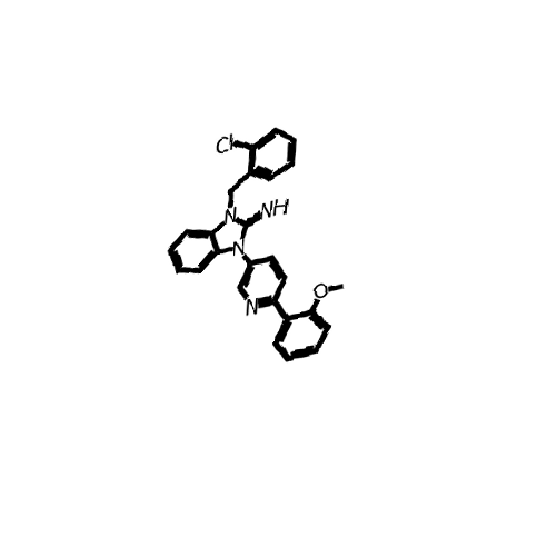 COc1ccccc1-c1ccc(-n2c(=N)n(Cc3ccccc3Cl)c3ccccc32)cn1